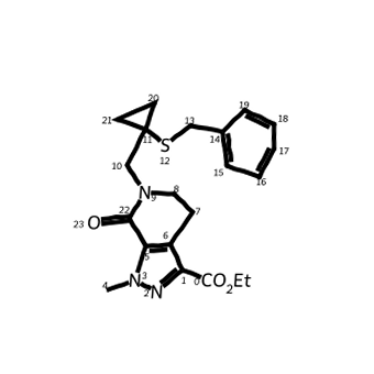 CCOC(=O)c1nn(C)c2c1CCN(CC1(SCc3ccccc3)CC1)C2=O